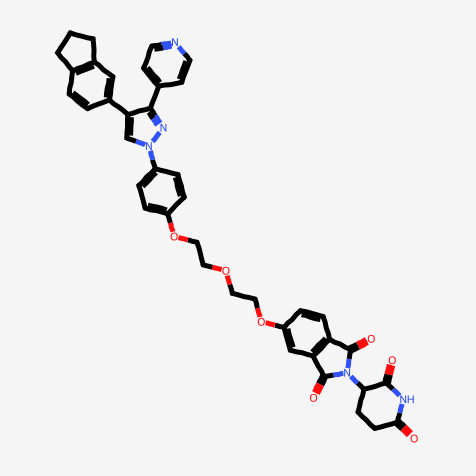 O=C1CCC(N2C(=O)c3ccc(OCCOCCOc4ccc(-n5cc(-c6ccc7c(c6)CCC7)c(-c6ccncc6)n5)cc4)cc3C2=O)C(=O)N1